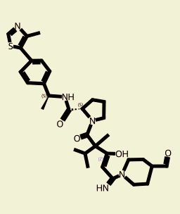 Cc1ncsc1-c1ccc([C@H](C)NC(=O)[C@@H]2CCCN2C(=O)C(C)(/C(O)=C/C(=N)N2CCC(C=O)CC2)C(C)C)cc1